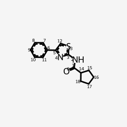 O=C(Nc1nc(-c2ccccc2)cs1)C1CCCC1